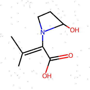 CC(C)=C(C(=O)O)N1CCC1O